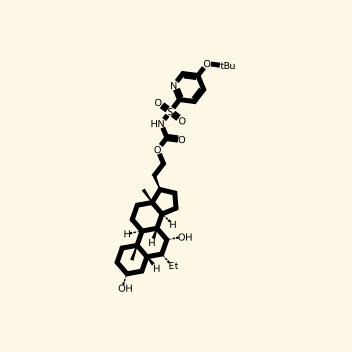 CC[C@H]1[C@@H](O)[C@@H]2[C@H](CC[C@]3(C)[C@@H](CCOC(=O)NS(=O)(=O)c4ccc(OC(C)(C)C)cn4)CC[C@@H]23)[C@@]2(C)CC[C@@H](O)C[C@@H]12